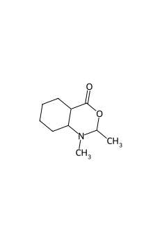 CC1OC(=O)C2CCCCC2N1C